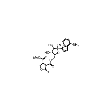 COC(=O)[C@H]1COC(=O)N1C(=O)OC[C@H]1O[C@@](C#N)(c2ccc3c(N)ncnn23)[C@H](O)[C@@H]1O